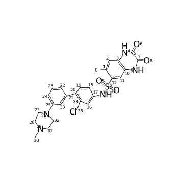 Cc1cc2[nH]c(=O)c(=O)[nH]c2cc1S(=O)(=O)Nc1ccc(-c2cccc(N3CCN(C)CC3)c2)c(Cl)c1